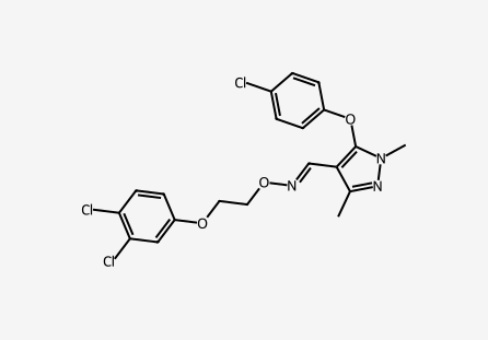 Cc1nn(C)c(Oc2ccc(Cl)cc2)c1C=NOCCOc1ccc(Cl)c(Cl)c1